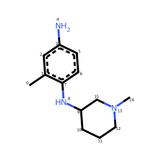 Cc1cc(N)ccc1NC1CCCN(C)C1